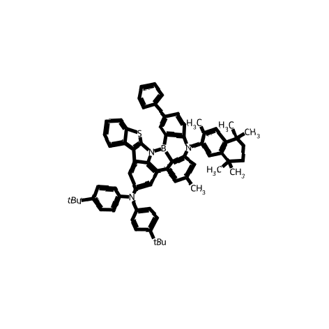 Cc1cc2c3c(c1)N(c1cc4c(cc1C)C(C)(C)CCC4(C)C)c1ccc(-c4ccccc4)cc1B3n1c3sc4ccccc4c3c3cc(N(c4ccc(C(C)(C)C)cc4)c4ccc(C(C)(C)C)cc4)cc-2c31